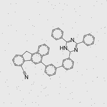 N#Cc1cccc2c1-c1cc(-c3cccc(-c4cccc(C5N=C(c6ccccc6)N=C(c6ccccc6)N5)c4)c3)c3ccccc3c1C2